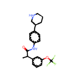 CC(C(=O)Nc1ccc(C2CCCNC2)cc1)c1cccc(OC(F)(F)F)c1